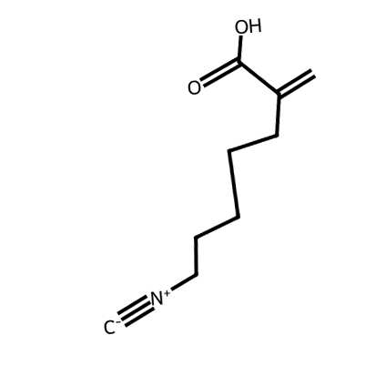 [C-]#[N+]CCCCCC(=C)C(=O)O